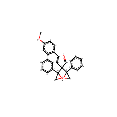 COc1ccc(/C=C/C(C=O)(C2(c3ccccc3)CO2)C2(c3ccccc3)CO2)cc1